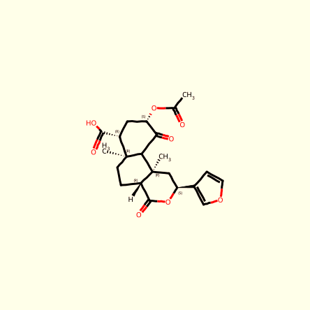 CC(=O)O[C@H]1C[C@@H](C(=O)O)[C@]2(C)CC[C@H]3C(=O)O[C@H](c4ccoc4)C[C@]3(C)C2C1=O